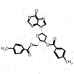 Cc1ccc(C(=O)OC[C@@H]2O[C@H](n3cnc4c(Cl)ncnc43)C[C@H]2OC(=O)c2ccc(C)cc2)cc1